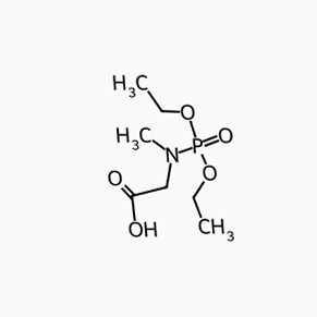 CCOP(=O)(OCC)N(C)CC(=O)O